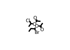 CC(=O)OC(C)Cl.CCC(Br)OC(C)=O